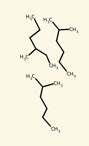 CCCC(C)CC.CCCCC(C)C.CCCCC(C)C